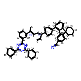 C=C/C(=C\C=C(/C)c1cccc(-c2nc(-c3ccccc3)nc(-c3ccccc3)n2)c1)c1ccc(-c2cccc3c2-c2cc(C#N)ccc2C32CCCCC2)cc1